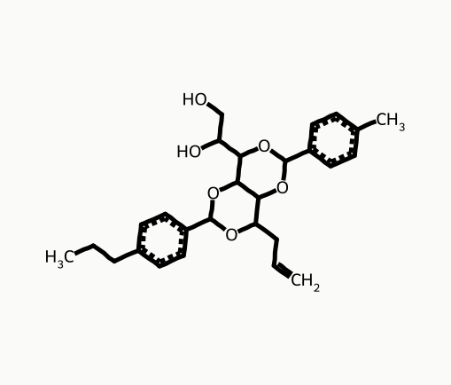 C=CCC1OC(c2ccc(CCC)cc2)OC2C(C(O)CO)OC(c3ccc(C)cc3)OC12